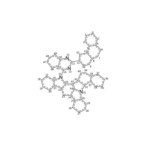 c1ccc2c(c1)ccc1ccc(-c3nc(-n4c5ccccc5c5cc6c7ccccc7n7c8c9ccccc9ccc8c(c54)c67)c4ccccc4n3)cc12